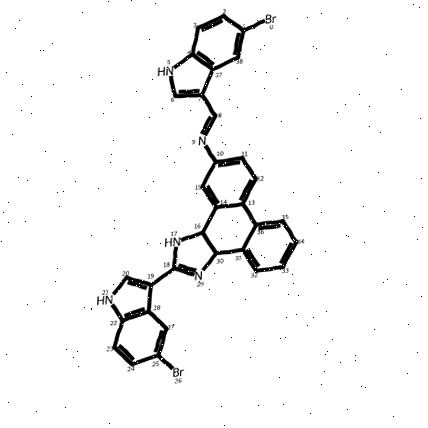 Brc1ccc2[nH]cc(C=Nc3ccc4c(c3)C3NC(c5c[nH]c6ccc(Br)cc56)=NC3c3ccccc3-4)c2c1